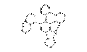 c1ccc2c(-c3cc4c5ccccc5n5c6cccc7c8ccccc8c3c(c76)c45)cccc2c1